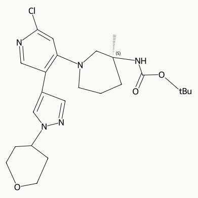 CC(C)(C)OC(=O)N[C@@]1(C)CCCN(c2cc(Cl)ncc2-c2cnn(C3CCOCC3)c2)C1